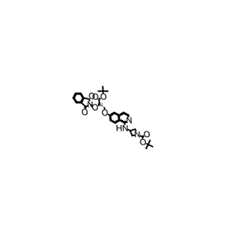 CC(C)(C)OC(=O)[C@H](COc1ccc2c(NC3CN(C(=O)OC(C)(C)C)C3)nccc2c1)ON1C(=O)c2ccccc2C1=O